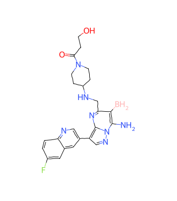 Bc1c(CNC2CCN(C(=O)CCO)CC2)nc2c(-c3cnc4ccc(F)cc4c3)cnn2c1N